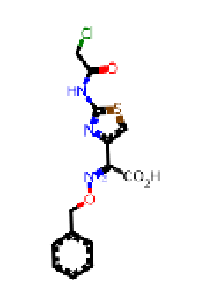 O=C(CCl)Nc1nc(/C(=N/OCc2ccccc2)C(=O)O)cs1